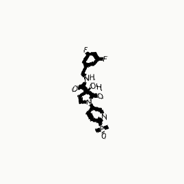 CP(C)(=O)c1ccc(N2CC[C@](O)(C(=O)NCc3cc(F)cc(F)c3)C2=O)cn1